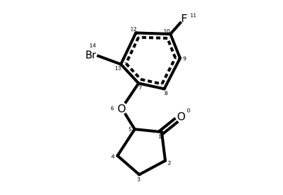 O=C1CCCC1Oc1ccc(F)cc1Br